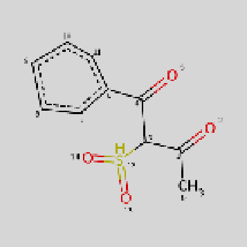 CC(=O)C(C(=O)c1ccccc1)[SH](=O)=O